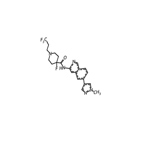 Cn1cc(-c2ccc3cnc(NC(=O)C4(F)CCN(CCC(F)(F)F)CC4)cc3c2)cn1